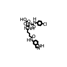 O=C(CCCc1nc(OC(=O)O)c(NC(=O)Nc2ccc(Cl)cc2)[nH]1)Nc1ccc2[nH]ncc2c1